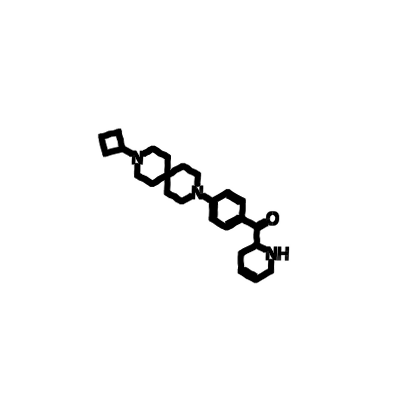 O=C(c1ccc(N2CCC3(CC2)CCN(C2CCC2)CC3)cc1)C1CC=CCN1